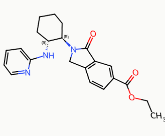 CCOC(=O)c1ccc2c(c1)C(=O)N([C@@H]1CCCC[C@H]1Nc1ccccn1)C2